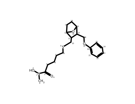 CN(O)C(=O)CCCCSCC1C2CCC(O2)C1COc1ccccc1